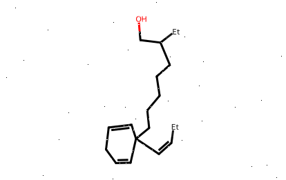 CC/C=C\C1(CCCCCC(CC)CO)C=CCC=C1